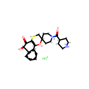 Cl.O=C1C(=O)c2ccccc2C2=C1SCC1(CCN(C(=O)C3CCNCC3)CC1)O2